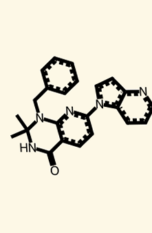 CC1(C)NC(=O)c2ccc(-n3ccc4ncccc43)nc2N1Cc1ccccc1